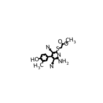 COC(=O)CSc1nc(N)c(C#N)c(-c2ccc(O)c(C)c2)c1C#N